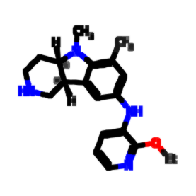 CCOc1ncccc1Nc1cc2c(c(C(F)(F)F)c1)N(C)[C@H]1CCNC[C@@H]21